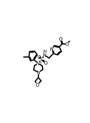 COC(=O)c1ccc(CNS(=O)(=O)[N+]2(c3cccc(C)c3)CCN(C3COC3)CC2)nc1